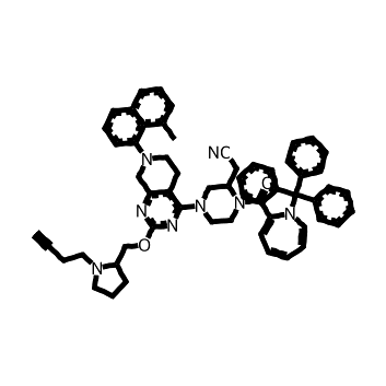 C#CCCN1CCCC1COc1nc2c(c(N3CCN(C(=O)C4=CC=CC=CN4C(c4ccccc4)(c4ccccc4)c4ccccc4)C(CC#N)C3)n1)CCN(c1cccc3cccc(C)c13)C2